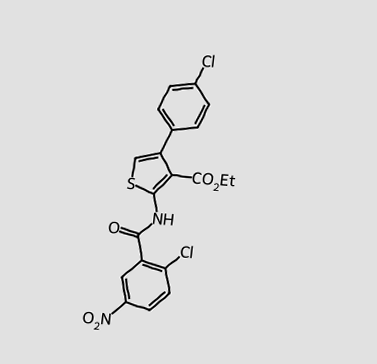 CCOC(=O)c1c(-c2ccc(Cl)cc2)csc1NC(=O)c1cc([N+](=O)[O-])ccc1Cl